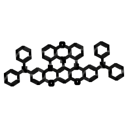 c1ccc(N(c2ccccc2)c2ccc3c(c2)B2c4cccc5c4N4c6c(cccc6B6c7cc(N(c8ccccc8)c8ccccc8)ccc7Oc7cc(c2c4c76)O3)O5)cc1